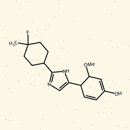 COC1C=C(O)C=CC1c1cnc(C2CCC(C)(F)CC2)[nH]1